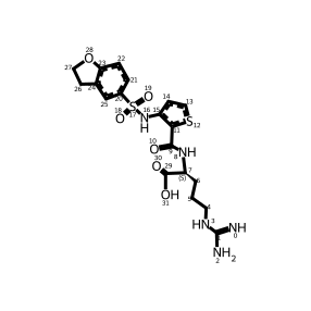 N=C(N)NCCC[C@H](NC(=O)c1sccc1NS(=O)(=O)c1ccc2c(c1)CCO2)C(=O)O